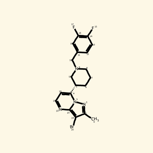 Cc1nn2c([C@H]3CCCN(Cc4ccc(F)c(F)c4)C3)ccnc2c1Br